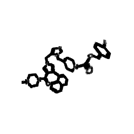 CN1CCN(C(=O)c2cn(Cc3cncn3CC3CCN(C(=O)OCc4ccc(F)cc4)CC3)cc2-c2cccc3ccccc23)CC1